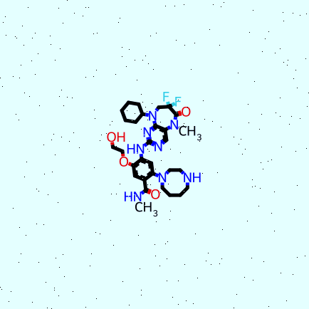 CNC(=O)c1cc(OCCO)c(Nc2ncc3c(n2)N(C2CCCCC2)CC(F)(F)C(=O)N3C)cc1N1CCCCNCC1